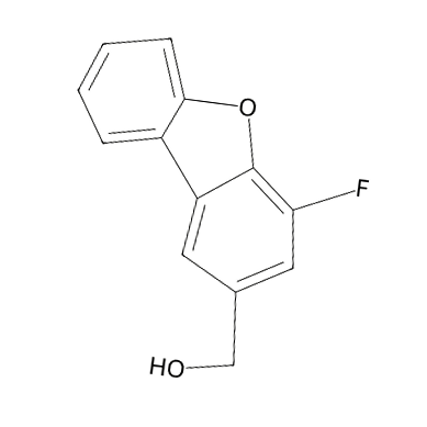 OCc1cc(F)c2oc3ccccc3c2c1